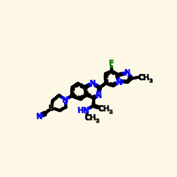 C=C(NC)c1nc(-c2cc(F)c3nc(C)cn3c2)nc2ccc(N3CCB(C#N)CC3)cc12